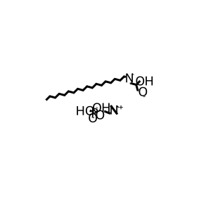 CCCCCCCCCCCCCCCCCCN(C)CC(O)COC.C[N+](C)(C)CCOP(=O)(O)O